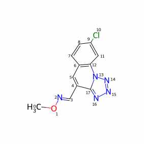 CON=Cc1cc2ccc(Cl)cc2n2nnnc12